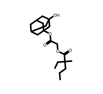 CCCC(C)(CC)C(=O)OCC(=O)OC12CC3CC(CC(O)(C3)C1)C2